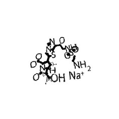 C[C@@H](O)[C@H]1C(=O)N2C(C(=O)[O-])=C(c3cn4cnc(C(=O)CNS(=O)(=O)CCN)c4s3)[C@H](C)[C@H]12.[Na+]